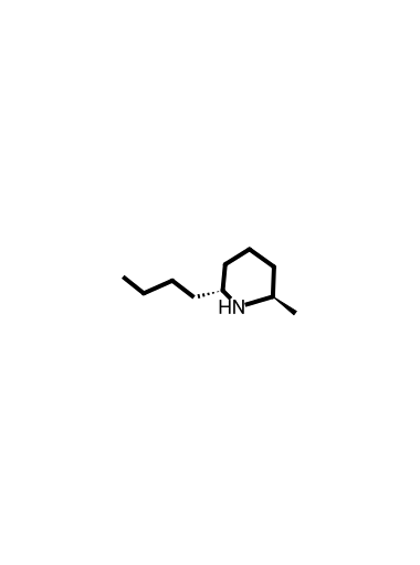 CCCC[C@@H]1CCC[C@@H](C)N1